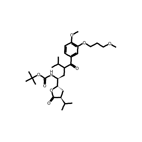 COCCCOc1cc(C(=O)C(C[C@H](NC(=O)OC(C)(C)C)[C@@H]2C[C@@H](C(C)C)C(=O)O2)C(C)C)ccc1OC